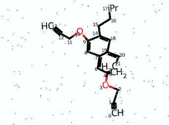 C#CCOC(=C)/C=c1/cc(OCC#C)c(CCC(C)C)c/c1=C/C